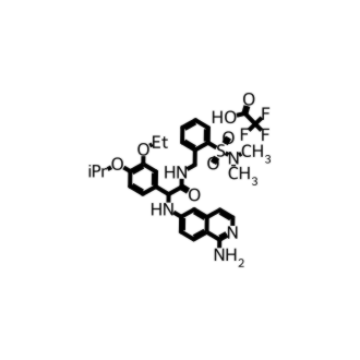 CCOc1cc(C(Nc2ccc3c(N)nccc3c2)C(=O)NCc2ccccc2S(=O)(=O)N(C)C)ccc1OC(C)C.O=C(O)C(F)(F)F